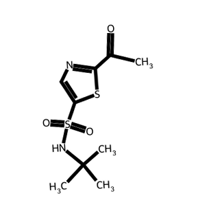 CC(=O)c1ncc(S(=O)(=O)NC(C)(C)C)s1